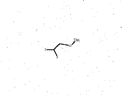 OOCC(F)F